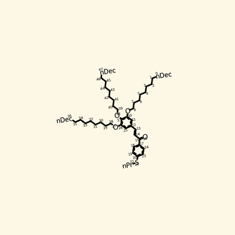 CCCCCCCCCCCCCCCCCCOc1cc(C=CC(=O)c2ccc(SCCC)cc2)cc(OCCCCCCCCCCCCCCCCCC)c1OCCCCCCCCCCCCCCCCCC